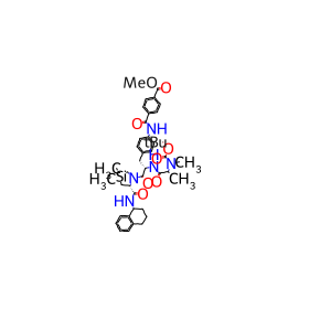 COC(=O)c1ccc(C(=O)Nc2ccc(C[C@H](NC(=O)[C@H](C)N(C)C(=O)OC(C)(C)C)C(=O)N3C[Si](C)(C)C[C@H]3C(=O)N[C@@H]3CCCc4ccccc43)cc2)cc1